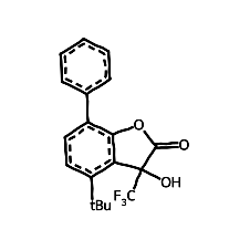 CC(C)(C)c1ccc(-c2ccccc2)c2c1C(O)(C(F)(F)F)C(=O)O2